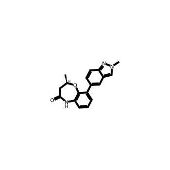 C[C@@H]1CC(=O)Nc2cccc(-c3ccc4nn(C)cc4c3)c2O1